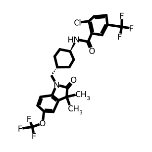 CC1(C)C(=O)N(C[C@H]2CC[C@H](NC(=O)c3cc(C(F)(F)F)ccc3Cl)CC2)c2ccc(OC(F)(F)F)cc21